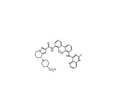 Cc1nc(Nc2cccc(-c3cccc(NC(=O)c4cc5n(n4)CCC[C@H]5N4CCC(C(=O)O)CC4)c3Cl)c2Cl)c2ncccc2n1